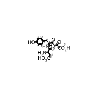 C[C@H](NC(=O)[C@H](Cc1ccc(O)cc1)NC(=O)[C@@H](N)CC(=O)O)C(=O)O